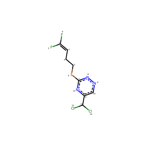 FC(F)=CCCSc1nncc(C(Cl)Cl)n1